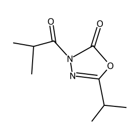 CC(C)C(=O)n1nc(C(C)C)oc1=O